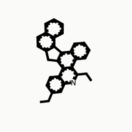 CCc1ccc2c(c1)nc(CC)c1c3ccccc3c3c(c21)Cc1ccc2ccccc2c1-3